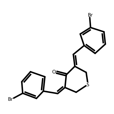 O=C1/C(=C/c2cccc(Br)c2)CSC/C1=C/c1cccc(Br)c1